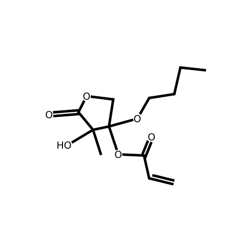 C=CC(=O)OC1(OCCCC)COC(=O)C1(C)O